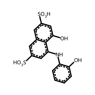 O=S(=O)(O)c1cc(O)c2c(Nc3ccccc3O)cc(S(=O)(=O)O)cc2c1